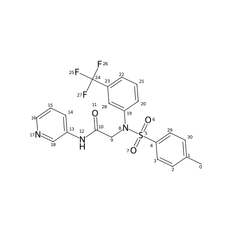 Cc1ccc(S(=O)(=O)N(CC(=O)Nc2cccnc2)c2cccc(C(F)(F)F)c2)cc1